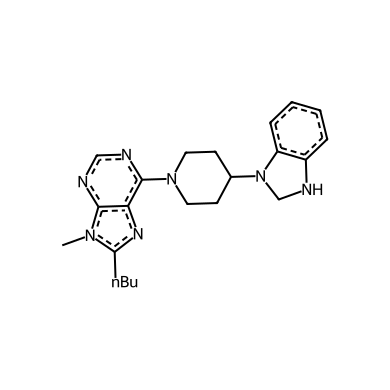 CCCCc1nc2c(N3CCC(N4CNc5ccccc54)CC3)ncnc2n1C